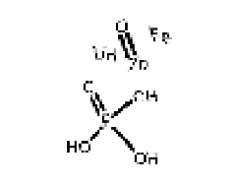 O=P(O)(O)O.[Fe].[LiH].[O]=[Zn]